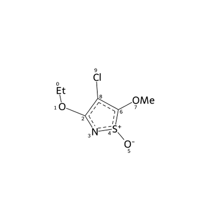 CCOc1n[s+]([O-])c(OC)c1Cl